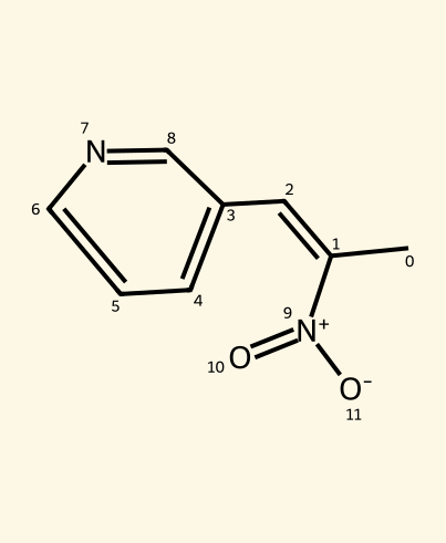 CC(=Cc1cccnc1)[N+](=O)[O-]